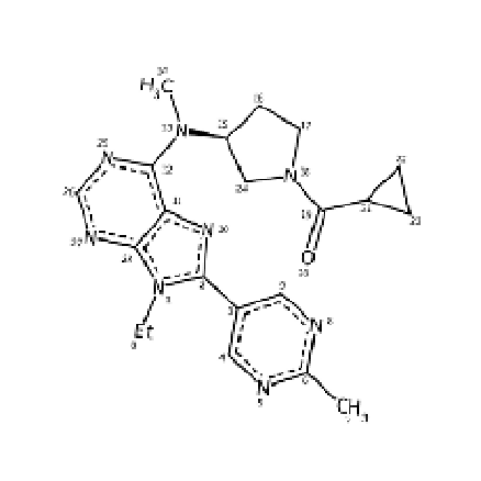 CCn1c(-c2cnc(C)nc2)nc2c(N(C)[C@H]3CCN(C(=O)C4CC4)C3)ncnc21